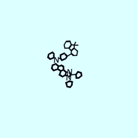 CC1(C)C2=C(CCC=C2)C2=C1CCC=C2c1ccc(N(c2ccccc2)c2cccc3c2ccc2c3ccc3c2nc(-c2ccccc2)n3-c2ccccc2)cc1